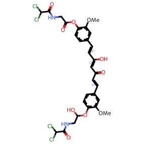 COc1cc(/C=C/C(O)=C/C(=O)/C=C/c2ccc(OC(O)CNC(=O)C(Cl)Cl)c(OC)c2)ccc1OC(=O)CNC(=O)C(Cl)Cl